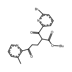 Cc1cccnc1C(=O)CCC(C(=O)OC(C)(C)C)C(=O)c1cccc(Br)n1